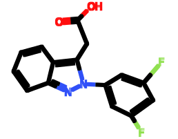 O=C(O)Cc1c2ccccc2nn1-c1cc(F)cc(F)c1